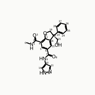 CNC(=O)c1cc(C(=O)Nc2cn[nH]c2)cc2c1OC[C@]2(CO)c1ccccc1